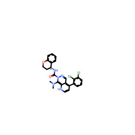 CN(C)C1=C2NC=CC(c3cccc(Cl)c3Cl)=C2C=NN1C(=O)N[C@H]1CCOc2ccccc21